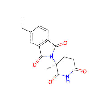 CCc1ccc2c(c1)C(=O)N([C@@]1(C)CCC(=O)NC1=O)C2=O